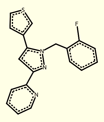 Fc1ccccc1Cn1nc(-c2ccccn2)cc1-c1ccsc1